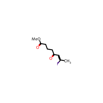 COC(=O)CCCC(=O)/C=C(/C)I